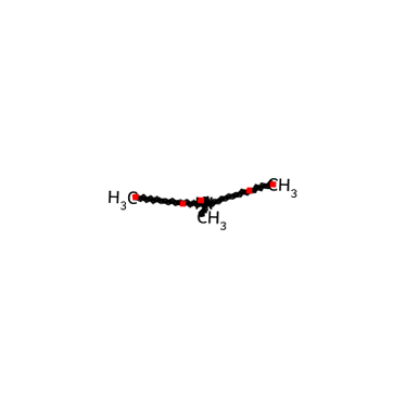 CCCCCCCCCCCCCCCCCCCn1cc[n+](CCCCCCCCCCCCCCCCCCC)c1CCC